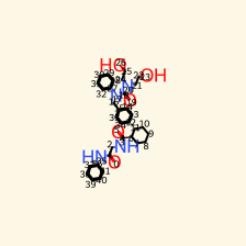 O=C(CNC(=O)[C@@H]1CCCC[C@H]1c1ccc(CN(C(=O)N(CCO)CCO)c2ccccc2)cc1)Nc1ccccc1